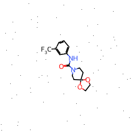 O=C(Nc1cccc(C(F)(F)F)c1)N1CCC2(CC1)OCCO2